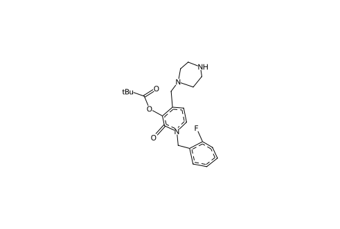 CC(C)(C)C(=O)Oc1c(CN2CCNCC2)ccn(Cc2ccccc2F)c1=O